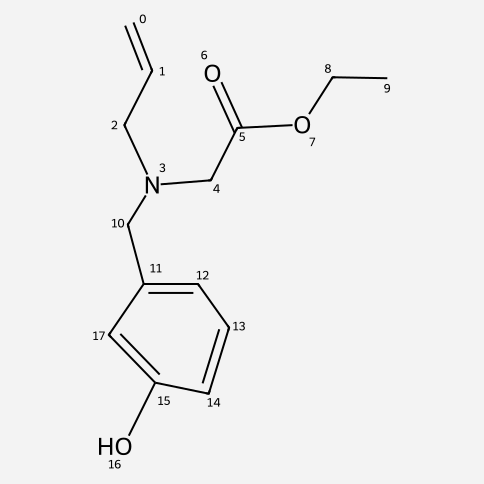 C=CCN(CC(=O)OCC)Cc1cccc(O)c1